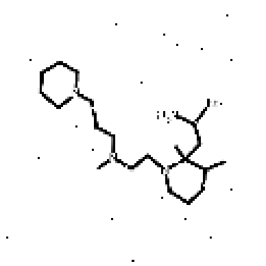 CCC(N)CC1(C)C(C)CCCN1CCN(C)CCCN1CCCCC1